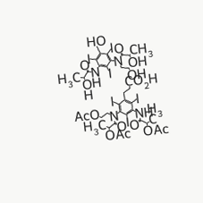 CC(=O)OCCN(C(=O)C(C)OC(C)=O)c1c(I)c(CCC(=O)O)c(I)c(NC(=O)C(C)OC(C)=O)c1I.CC(O)C(=O)Nc1c(I)c(CO)c(I)c(N(CCO)C(=O)C(C)O)c1I